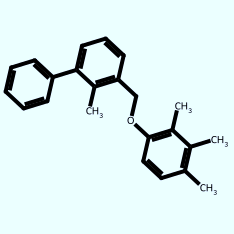 Cc1ccc(OCc2cccc(-c3ccccc3)c2C)c(C)c1C